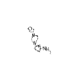 Nc1cccc(N2CCN(C3COC3)CC2)n1